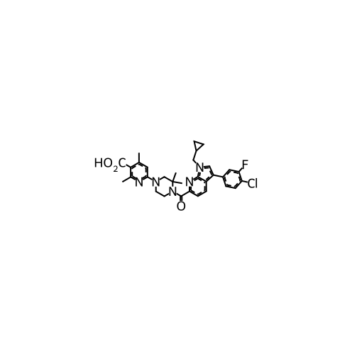 Cc1cc(N2CCN(C(=O)c3ccc4c(-c5ccc(Cl)c(F)c5)cn(CC5CC5)c4n3)C(C)(C)C2)nc(C)c1C(=O)O